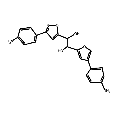 Nc1ccc(-c2cc(C(O)C(O)c3cc(-c4ccc([N+](=O)[O-])cc4)no3)on2)cc1